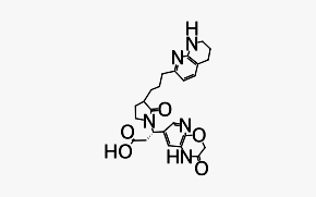 O=C(O)C[C@@H](c1cnc2c(c1)NC(=O)CO2)N1CCC(CCCc2ccc3c(n2)NCCC3)C1=O